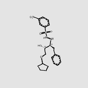 O=[N+]([O-])c1cccc(S(=O)(=O)NN[C@@H](Cc2ccccc2)[C@@H](O)COC2CCCC2)c1